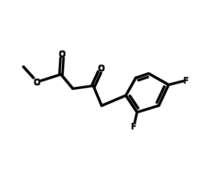 COC(=O)CC(=O)Cc1ccc(F)cc1F